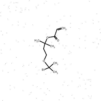 C=CC(=O)OC(C)(C)CCOC(C)(C)CC